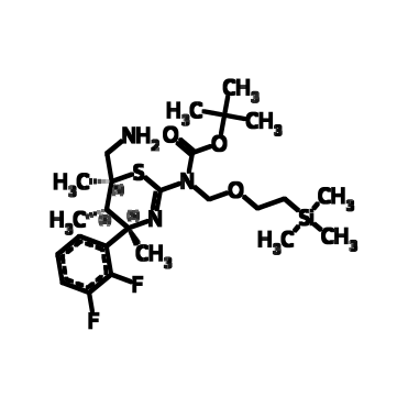 C[C@@H]1[C@@](C)(CN)SC(N(COCC[Si](C)(C)C)C(=O)OC(C)(C)C)=N[C@]1(C)c1cccc(F)c1F